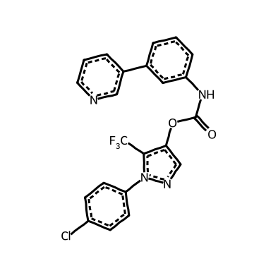 O=C(Nc1cccc(-c2cccnc2)c1)Oc1cnn(-c2ccc(Cl)cc2)c1C(F)(F)F